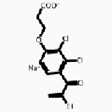 C=C(CC)C(=O)c1ccc(OCCC(=O)[O-])c(Cl)c1Cl.[Na+]